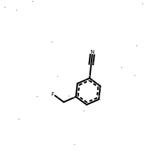 N#Cc1c[c]cc(CF)c1